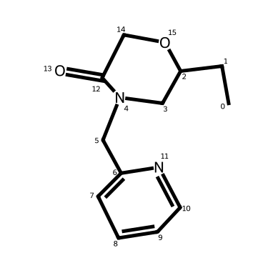 CCC1CN(Cc2ccccn2)C(=O)CO1